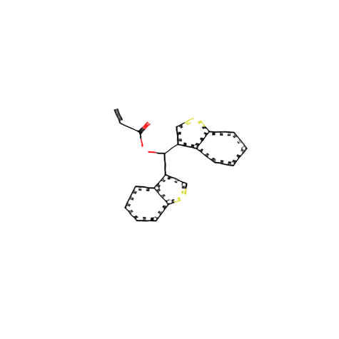 C=CC(=O)OC(c1csc2ccccc12)c1csc2ccccc12